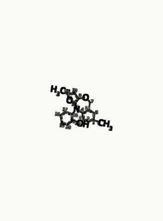 Cc1ccc2c(c1)COc1cc(C)oc1N2c1ccccc1O